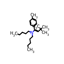 CCCCCN(CCCCC)/C(=C/C(C)(C)C)c1ccc(C)cc1